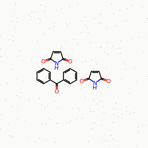 O=C(c1ccccc1)c1ccccc1.O=C1C=CC(=O)N1.O=C1C=CC(=O)N1